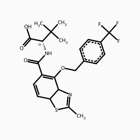 CC1=NC2C(OCc3ccc(C(F)(F)F)cc3)=C(C(=O)N[C@H](C(=O)O)C(C)(C)C)C=CC2S1